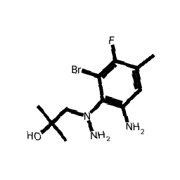 Cc1cc(N)c(N(N)CC(C)(C)O)c(Br)c1F